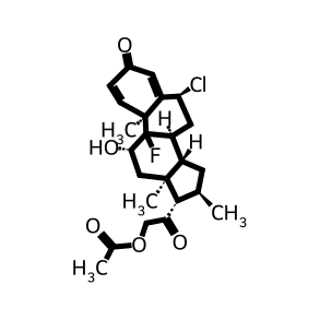 CC(=O)OCC(=O)[C@H]1[C@H](C)C[C@H]2[C@@H]3C[C@H](Cl)C4=CC(=O)C=C[C@]4(C)C3(F)[C@@H](O)C[C@@]21C